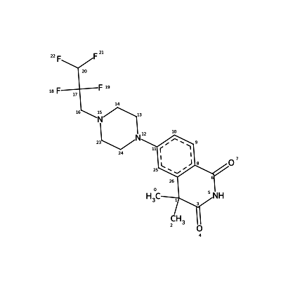 CC1(C)C(=O)NC(=O)c2ccc(N3CCN(CC(F)(F)C(F)F)CC3)cc21